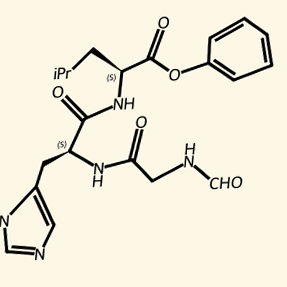 CC(C)C[C@H](NC(=O)[C@H](Cc1cnc[nH]1)NC(=O)CNC=O)C(=O)Oc1ccccc1